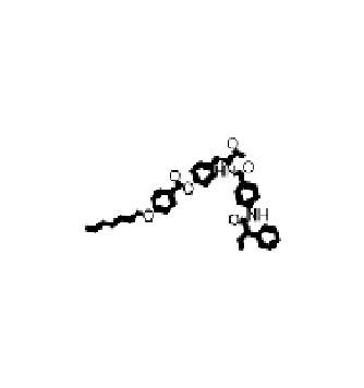 CCCCCCCOc1ccc(C(=O)Oc2ccc(C[C@H](NC(=O)c3ccc(NC(=O)C(CC)c4ccccc4)cc3)C(C)=O)cc2)cc1